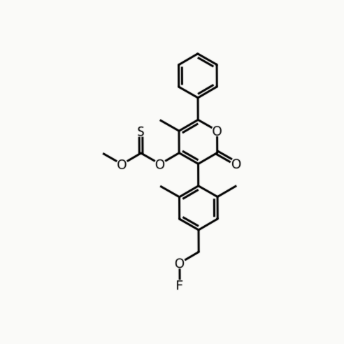 COC(=S)Oc1c(C)c(-c2ccccc2)oc(=O)c1-c1c(C)cc(COF)cc1C